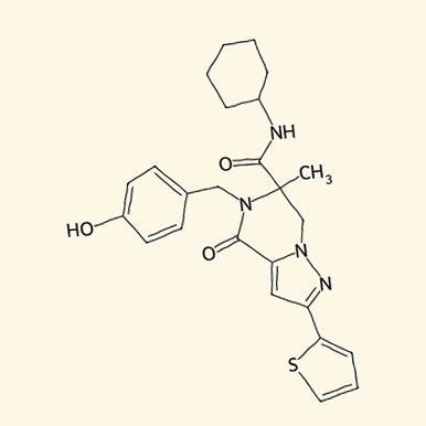 CC1(C(=O)NC2CCCCC2)Cn2nc(-c3cccs3)cc2C(=O)N1Cc1ccc(O)cc1